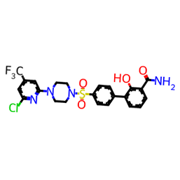 NC(=O)c1cccc(-c2ccc(S(=O)(=O)N3CCN(c4cc(C(F)(F)F)cc(Cl)n4)CC3)cc2)c1O